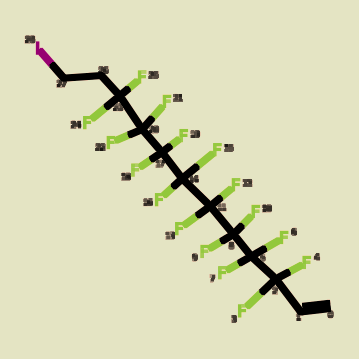 C=CC(F)(F)C(F)(F)C(F)(F)C(F)(F)C(F)(F)C(F)(F)C(F)(F)C(F)(F)CCI